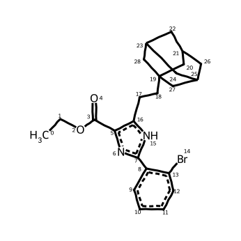 CCOC(=O)c1nc(-c2ccccc2Br)[nH]c1CCC12CC3CC(CC(C3)C1)C2